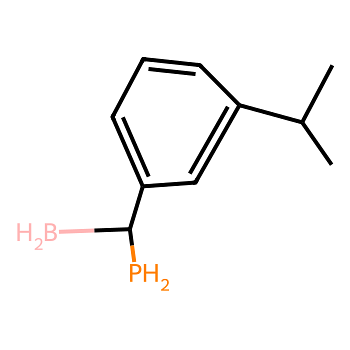 BC(P)c1cccc(C(C)C)c1